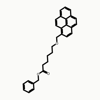 O=C(CCCCCOCc1ccc2ccc3cccc4ccc1c2c34)OCc1ccccc1